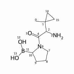 CC1(C(N)C(=O)N2CCCC2B(O)O)CC1